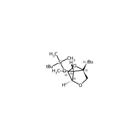 CC[C@H](C)[C@@]12CO[C@@H]([C@H](C)O1)[C@@H]2O[Si](C)(C)C(C)(C)C